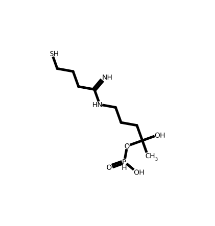 CC(O)(CCCNC(=N)CCCS)O[PH](=O)O